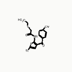 CCc1cc(C(=O)c2ccc(C#N)cc2)c(NC(=O)CSCC(=O)O)s1